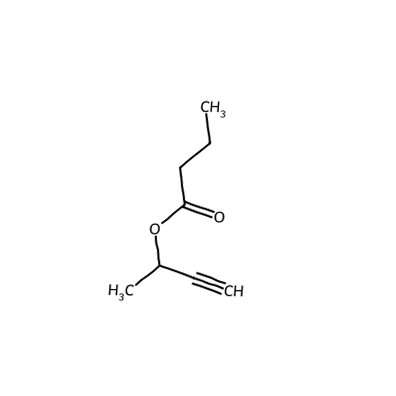 C#CC(C)OC(=O)CCC